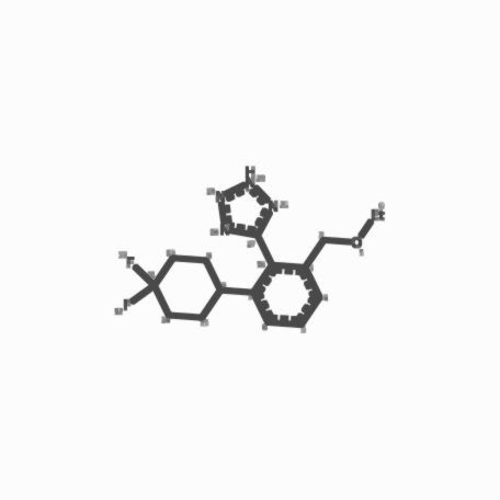 CCOCc1cccc(C2CCC(F)(F)CC2)c1-c1nn[nH]n1